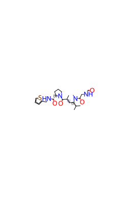 C/C(=C\[C@H](C(C)C)N(C)C(=O)CNC=O)C(=O)N1CCC[C@H]1C(=O)NCc1cccs1